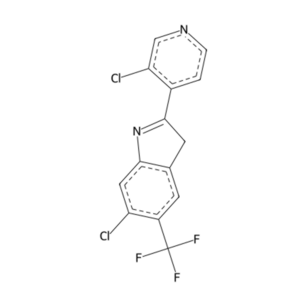 FC(F)(F)c1cc2c(cc1Cl)N=C(c1ccncc1Cl)C2